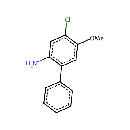 COc1cc(-c2ccccc2)c(N)cc1Cl